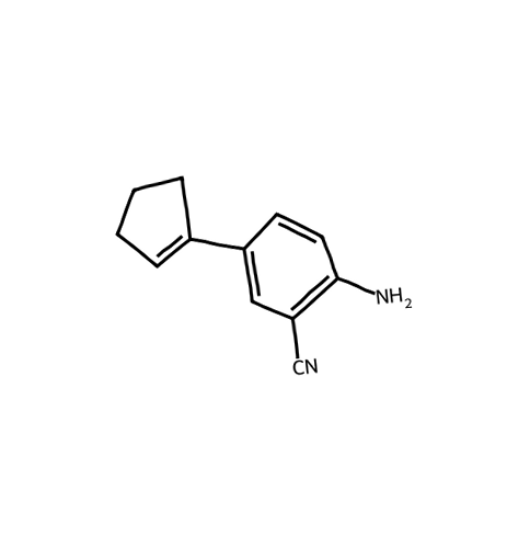 N#Cc1cc(C2=CCCC2)ccc1N